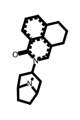 CN1C2CCC1CC(n1cc3c4c(cccc4c1=O)CCC3)C2